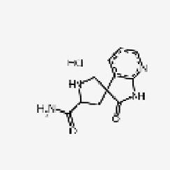 Cl.NC(=O)C1CC2(CN1)C(=O)Nc1ncccc12